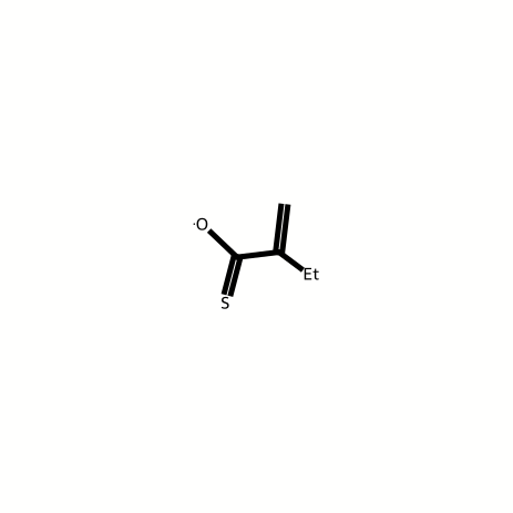 C=C(CC)C([O])=S